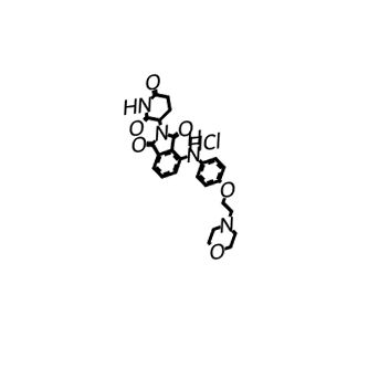 Cl.O=C1CCC(N2C(=O)c3cccc(Nc4ccc(OCCN5CCOCC5)cc4)c3C2=O)C(=O)N1